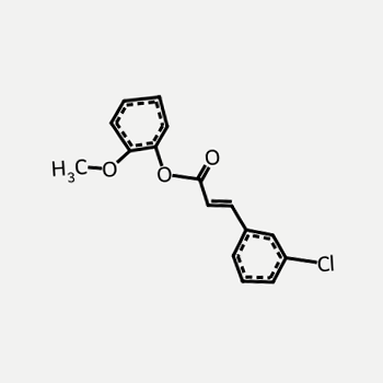 COc1ccccc1OC(=O)C=Cc1cccc(Cl)c1